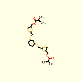 C=C(C)C(=O)OCC1CSC(CSC2CCCC(SCC3SCC(COC(=O)C(=C)C)S3)C2)S1